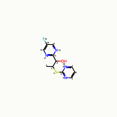 CC(Sc1ncccn1)C(O)c1ncc(F)cn1